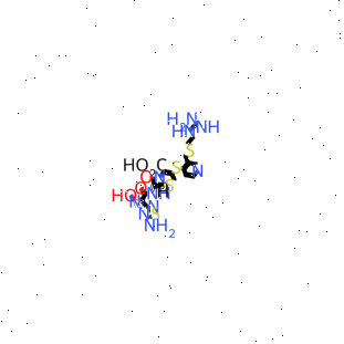 N=C(N)NCCSCc1cnccc1SC1=C(C(=O)O)N2C(=O)[C@@H](NC(=O)/C(=N\O)c3nsc(N)n3)[C@@H]2SC1